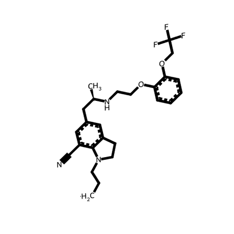 [CH2]CCN1CCc2cc(C[C@@H](C)NCCOc3ccccc3OCC(F)(F)F)cc(C#N)c21